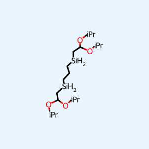 CC(C)OC(C[SiH2]CCC[SiH2]CC(OC(C)C)OC(C)C)OC(C)C